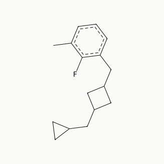 Cc1cccc(CC2CC(CC3CC3)C2)c1F